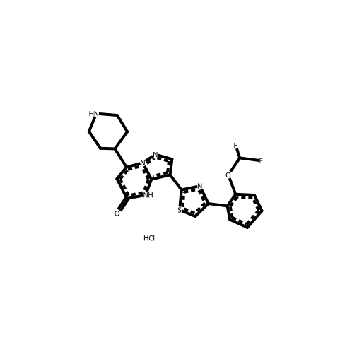 Cl.O=c1cc(C2CCNCC2)n2ncc(-c3nc(-c4ccccc4OC(F)F)cs3)c2[nH]1